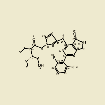 CC[C@@H](CO)N(CC)C(=O)Cn1cc(Nc2nc(-c3c(F)cccc3F)cc3c2C(=O)NC3)cn1